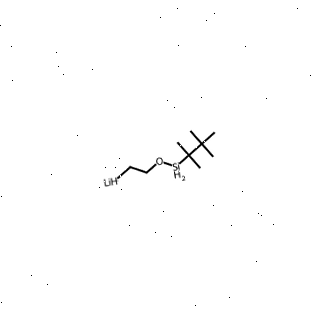 [CH2]CCO[SiH2]C(C)(C)C(C)(C)C.[LiH]